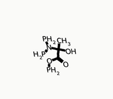 CC(O)(C(=O)OP)N(P)P